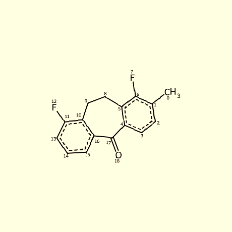 Cc1ccc2c(c1F)CCc1c(F)cccc1C2=O